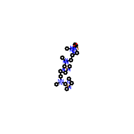 c1ccc(-c2nc(-c3ccc(-n4c5cccc(-c6ccc(-c7nc(-c8ccccc8)nc(-c8cccc(-n9c%10ccccc%10c%10cccc(-c%11nc%12ccccc%12s%11)c%109)c8)n7)cc6)c5c5cccc(-c6nc7ccccc7s6)c54)cc3)nc(-c3cccc(-c4ccc5c(c4)c4cccc(-c6nc7ccccc7s6)c4n5-c4nc(-c5ccccc5)nc(-c5ccccc5)n4)c3)n2)cc1